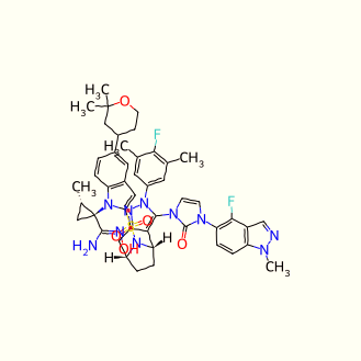 Cc1cc(-n2nc3c(c2-n2ccn(-c4ccc5c(cnn5C)c4F)c2=O)[C@@H]2CC[C@H](C3)N2S(=O)(=O)c2cc3cc(C4CCOC(C)(C)C4)ccc3n2[C@@]2(C(N)=NO)C[C@@H]2C)cc(C)c1F